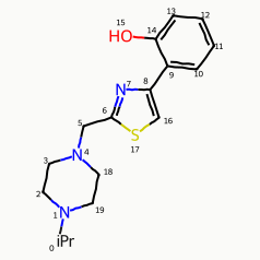 CC(C)N1CCN(Cc2nc(-c3ccccc3O)cs2)CC1